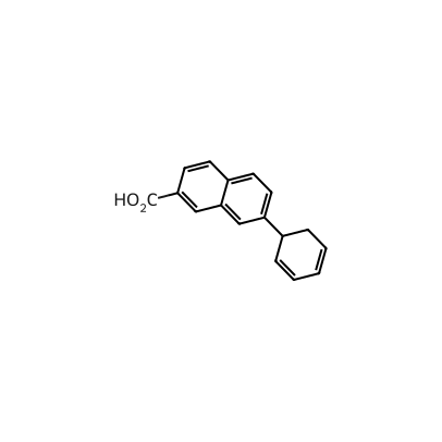 O=C(O)c1ccc2ccc(C3C=CC=CC3)cc2c1